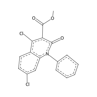 COC(=O)c1c(Cl)c2ccc(Cl)cc2n(-c2ccccc2)c1=O